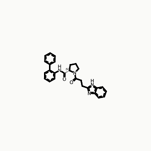 O=C(Nc1ccccc1-c1ccccc1)[C@@H]1CCCN1C(=O)CCc1nc2ccccc2[nH]1